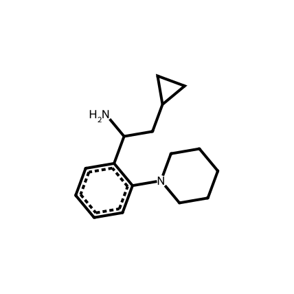 NC(CC1CC1)c1ccccc1N1CCCCC1